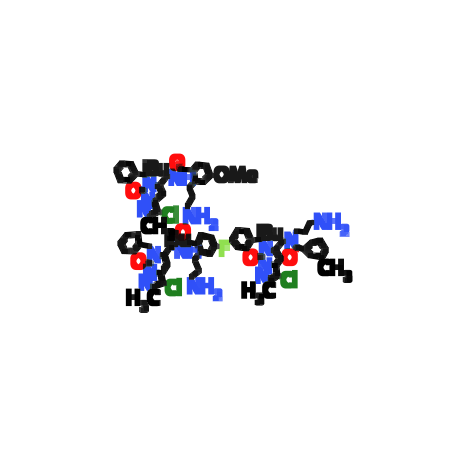 CCC(C)C(NC(=O)c1ccc(F)cc1CCCN)c1cc2c(Cl)c(C)nn2c(=O)n1Cc1ccccc1.CCC(C)C(NC(=O)c1ccc(OC)cc1CCCN)c1cc2c(Cl)c(C)nn2c(=O)n1Cc1ccccc1.CCC(C)C(c1cc2c(Cl)c(C)nn2c(=O)n1Cc1ccccc1)N(CCCN)C(=O)c1cccc(C)c1